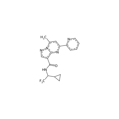 Cc1cc(-c2ccccn2)nc2c(C(=O)NC(C3CC3)C(F)(F)F)cnn12